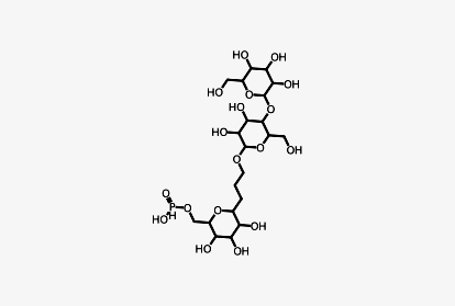 O=[PH](O)OCC1OC(CCCOC2OC(CO)C(OC3OC(CO)C(O)C(O)C3O)C(O)C2O)C(O)C(O)C1O